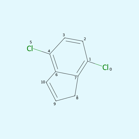 Clc1ccc(Cl)c2c1[CH]C=C2